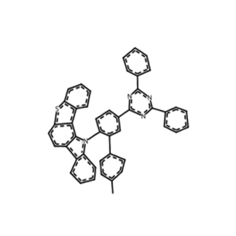 Cc1ccc(-c2cc(-c3nc(-c4ccccc4)nc(-c4ccccc4)n3)ccc2-n2c3ccccc3c3ccc4sc5ccccc5c4c32)cc1